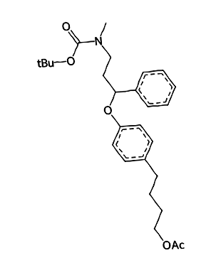 CC(=O)OCCCCc1ccc(OC(CCN(C)C(=O)OC(C)(C)C)c2ccccc2)cc1